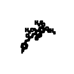 C=CC(c1ccc(OC)c(OC)c1)C(CCC(=O)CCc1ccc(F)cc1)[N+](=O)[O-]